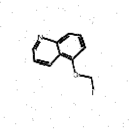 FCOc1cccc2ncccc12